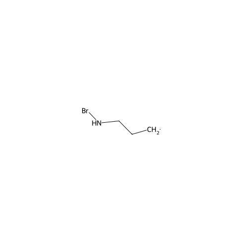 [CH2]CCNBr